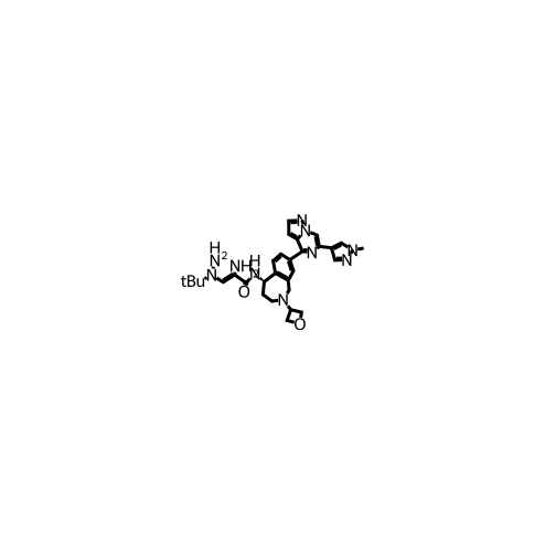 Cn1cc(-c2cn3nccc3c(-c3ccc4c(c3)CN(C3COC3)CC[C@H]4NC(=O)/C(N)=C/N(N)C(C)(C)C)n2)cn1